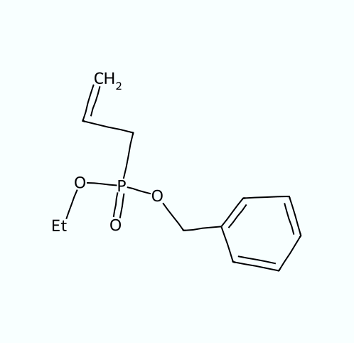 C=CCP(=O)(OCC)OCc1ccccc1